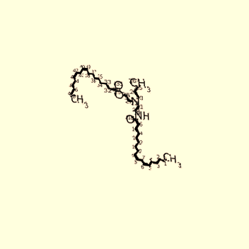 CCCCC/C=C\C/C=C\CCCCCCCC(=O)NCCN(CCCC)CCOC(=O)CCCCCCC/C=C\C/C=C\CCCCC